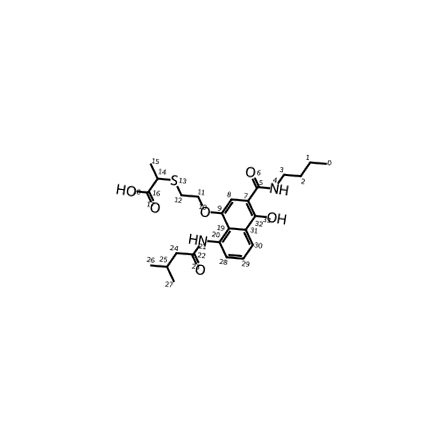 CCCCNC(=O)c1cc(OCCSC(C)C(=O)O)c2c(NC(=O)CC(C)C)cccc2c1O